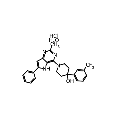 Cc1nc(N2CCC(O)(c3cccc(C(F)(F)F)c3)CC2)c2[nH]c(-c3ccccc3)cc2n1.Cl.O